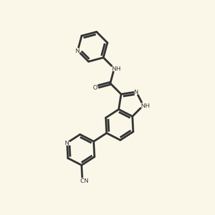 N#Cc1cncc(-c2ccc3[nH]nc(C(=O)Nc4cccnc4)c3c2)c1